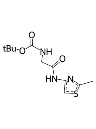 Cc1nc(NC(=O)CNC(=O)OC(C)(C)C)cs1